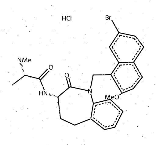 CN[C@@H](C)C(=O)N[C@H]1CCc2ccccc2N(Cc2c(OC)ccc3ccc(Br)cc23)C1=O.Cl